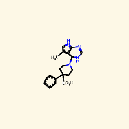 Cc1c[nH]c2c1C(N1CCC(C(=O)O)(c3ccccc3)CC1)NC=N2